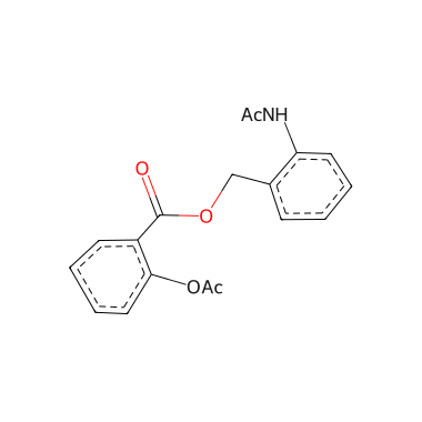 CC(=O)Nc1ccccc1COC(=O)c1ccccc1OC(C)=O